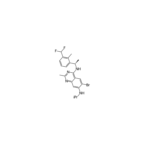 Cc1nc(N[C@H](C)c2cccc(C(F)F)c2C)c2cc(Br)c(NC(C)C)cc2n1